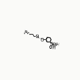 CC(C)CCCOCCOc1cccc(B(O)O)c1